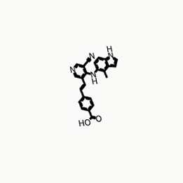 Cc1c(Nc2c(C#N)cncc2/C=C/c2ccc(C(=O)O)cc2)ccc2[nH]ccc12